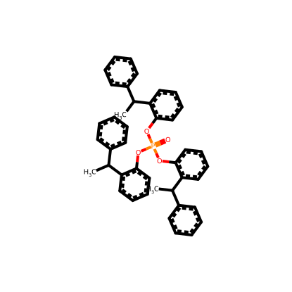 CC(c1ccccc1)c1ccccc1OP(=O)(Oc1ccccc1C(C)c1ccccc1)Oc1ccccc1C(C)c1ccccc1